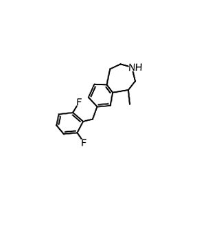 CC1CNCCc2ccc(Cc3c(F)cccc3F)cc21